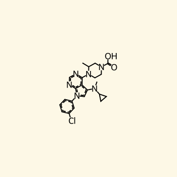 CC1CN(C(=O)O)CCN1c1ncnc2c1c(N(C)C1CC1)cn2-c1cccc(Cl)c1